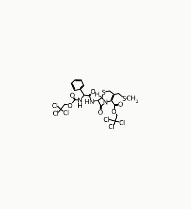 CSCC1=C(C(=O)OCC(Cl)(Cl)Cl)N2C(=O)[C@@H](NC(=O)C(NC(=O)OCC(Cl)(Cl)Cl)c3ccccc3)[C@@H]2SC1